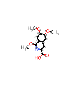 COc1cc2cc(C(=O)O)nc(OC)c2cc1OC